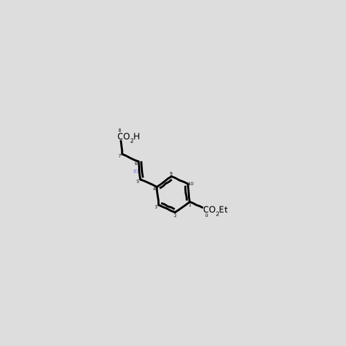 CCOC(=O)c1ccc(/C=C/CC(=O)O)cc1